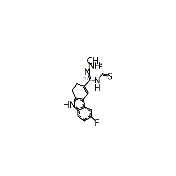 CN/N=C(\NC=S)C1=Cc2c([nH]c3ccc(F)cc23)CC1